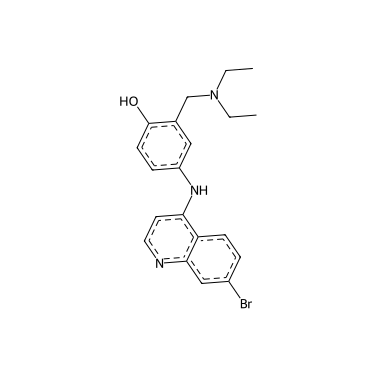 CCN(CC)Cc1cc(Nc2ccnc3cc(Br)ccc23)ccc1O